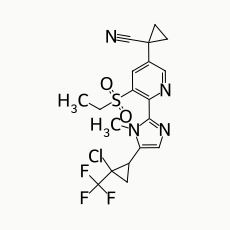 CCS(=O)(=O)c1cc(C2(C#N)CC2)cnc1-c1ncc(C2CC2(Cl)C(F)(F)F)n1C